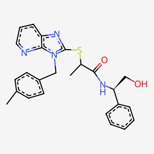 Cc1ccc(Cn2c(SC(C)C(=O)N[C@@H](CO)c3ccccc3)nc3cccnc32)cc1